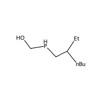 CCCCC(CC)CPCO